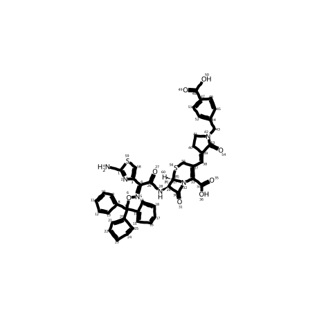 Nc1nc(C(=NOC(c2ccccc2)(c2ccccc2)c2ccccc2)C(=O)N[C@@H]2C(=O)N3C(C(=O)O)=C(C=C4CCN(Cc5ccc(C(=O)O)cc5)C4=O)CS[C@H]23)cs1